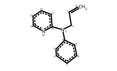 C=CCN(c1ccccc1)c1ccccn1